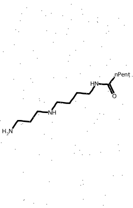 CCCCCC(=O)NCCCCNCCCN